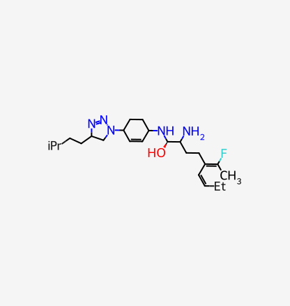 CC/C=C\C(CCC(N)[C@@H](O)NC1C=CC(N2CC(CCC(C)C)N=N2)CC1)=C(/C)F